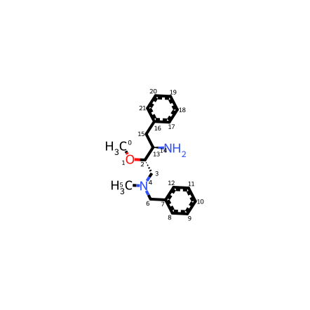 CO[C@@H](CN(C)Cc1ccccc1)[C@H](N)Cc1ccccc1